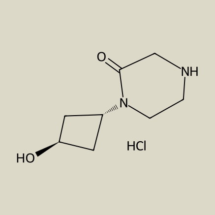 Cl.O=C1CNCCN1[C@H]1C[C@H](O)C1